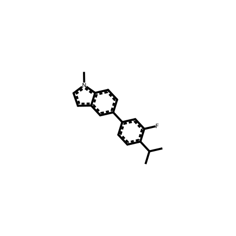 CC(C)c1ccc(-c2ccc3c(ccn3C)c2)cc1F